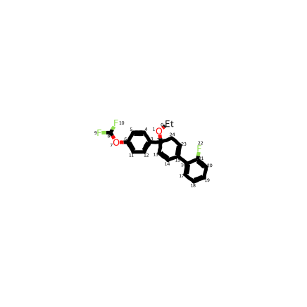 CCOC1(c2ccc(OC(F)F)cc2)C=CC(c2ccccc2F)=CC1